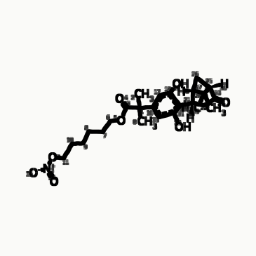 CC(C)(C(=O)OCCCCCCO[N+](=O)[O-])c1cc(O)c([C@H]2CC(=O)[C@H]3C[C@@H]2C3(C)C)c(O)c1